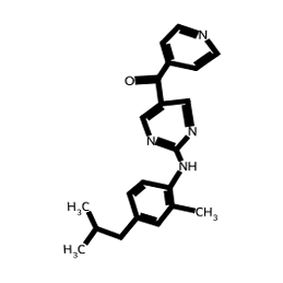 Cc1cc(CC(C)C)ccc1Nc1ncc(C(=O)c2ccncc2)cn1